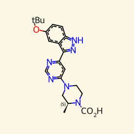 C[C@H]1CN(c2cc(-c3n[nH]c4ccc(OC(C)(C)C)cc34)ncn2)CCN1C(=O)O